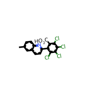 Cc1ccc2nc(-c3c(Cl)c(Cl)c(Cl)c(Cl)c3C(=O)O)ccc2c1